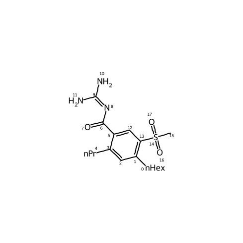 CCCCCCc1cc(CCC)c(C(=O)N=C(N)N)cc1S(C)(=O)=O